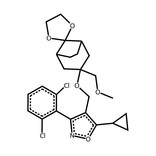 COCC1(OCc2c(-c3c(Cl)cccc3Cl)noc2C2CC2)CC2CCC(C1)C21OCCO1